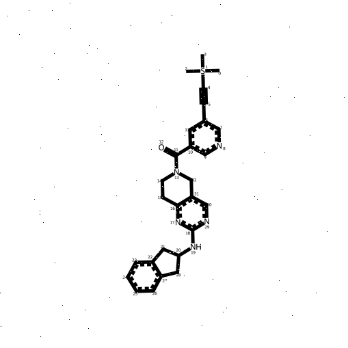 CS(C)(C)C#Cc1cncc(C(=O)N2CCc3nc(NC4Cc5ccccc5C4)ncc3C2)c1